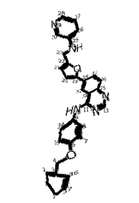 c1ccc(COc2ccc(Nc3ncnc4ccc(-c5ccc(CNc6cccnc6)o5)cc34)cc2)cc1